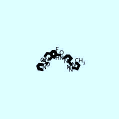 C[C@H]1CCc2nnc(-c3cccc(NC(=O)c4cc5c(cc4F)CCN(S(=O)(=O)c4ccccn4)C5)n3)n21